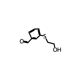 O=Cc1cccc(SCCO)c1